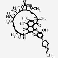 CCCN1CCN(c2cc(O)c3nc4c5c6c7c(C)c(O)c5c(=O)c(c-4oc3c2)NC(=O)/C(C)=C\C=C\C(C)C(O)C(C)C(O)C(C)C(OC(C)=O)C(C)C(OC)/C=C/CC(C)(O7)C6=O)CC1